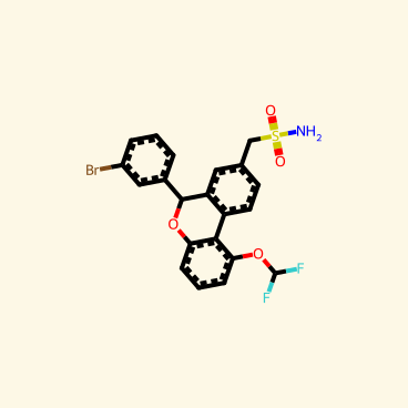 NS(=O)(=O)Cc1ccc2c(c1)C(c1cccc(Br)c1)Oc1cccc(OC(F)F)c1-2